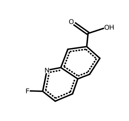 O=C(O)c1ccc2ccc(F)nc2c1